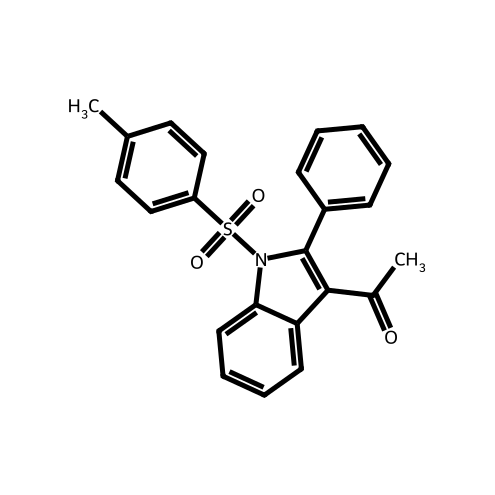 CC(=O)c1c(-c2ccccc2)n(S(=O)(=O)c2ccc(C)cc2)c2ccccc12